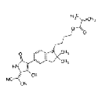 C=C(C)C(=O)OCCCCN1c2ccc(C3=C(C#N)C(=C(C#N)C#N)NC3=O)cc2CC1(C)C